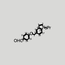 CC(C)n1ccc2cc(COc3ccc(C=O)cc3)ccc21